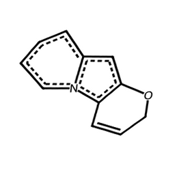 C1=Cc2c(cc3ccccn23)OC1